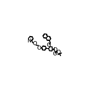 CC(C)(C)OC(=O)ON1CCC(c2ccc(OCCOCc3ccccn3)cc2)C(OCc2ccc3ccccc3c2)C1